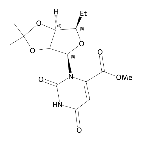 CC[C@H]1O[C@@H](n2c(C(=O)OC)cc(=O)[nH]c2=O)C2OC(C)(C)O[C@H]21